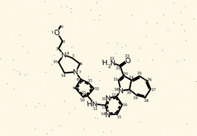 COCCN1CCN(c2ccc(Nc3nccc(N4C=C(C(N)=O)C5=CC=CC=CC54)n3)cc2)CC1